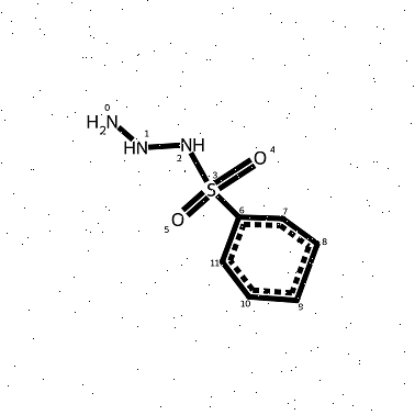 NNNS(=O)(=O)c1ccccc1